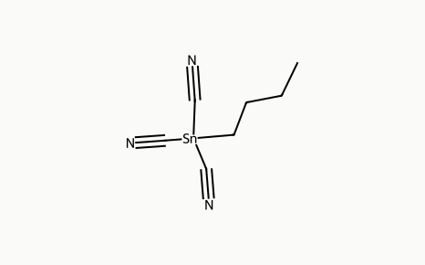 CCC[CH2][Sn]([C]#N)([C]#N)[C]#N